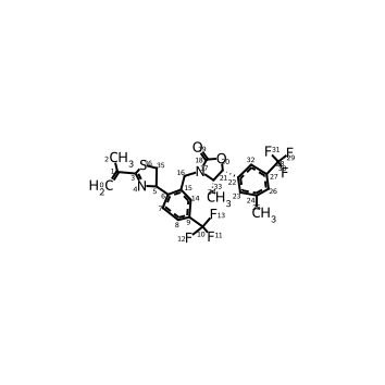 C=C(C)C1=NC(c2ccc(C(F)(F)F)cc2CN2C(=O)O[C@H](c3cc(C)cc(C(F)(F)F)c3)[C@@H]2C)CS1